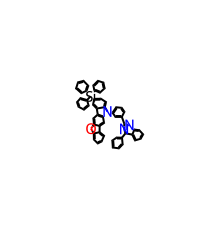 c1ccc(C2c3ccccc3N3C(c4cccc(-n5c6ccc([Si](c7ccccc7)(c7ccccc7)c7ccccc7)cc6c6cc7oc8ccccc8c7cc65)c4)N23)cc1